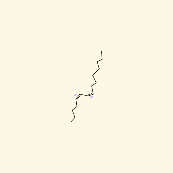 CCCC/C=C\C=C/CCCCCCI